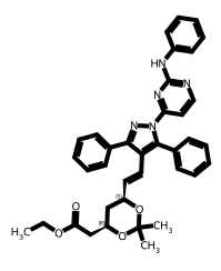 CCOC(=O)C[C@H]1C[C@@H](C=Cc2c(-c3ccccc3)nn(-c3ccnc(Nc4ccccc4)n3)c2-c2ccccc2)OC(C)(C)O1